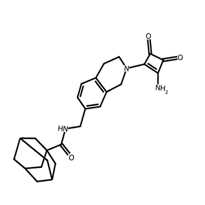 Nc1c(N2CCc3ccc(CNC(=O)C45CC6CC(CC(C6)C4)C5)cc3C2)c(=O)c1=O